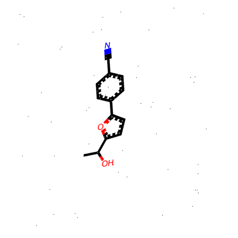 CC(O)c1ccc(-c2ccc(C#N)cc2)o1